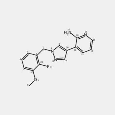 COc1cccc(Cn2cc(-c3cccnc3N)cn2)c1F